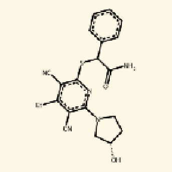 CCc1c(C#N)c(SC(C(N)=O)c2ccccc2)nc(N2CC[C@H](O)C2)c1C#N